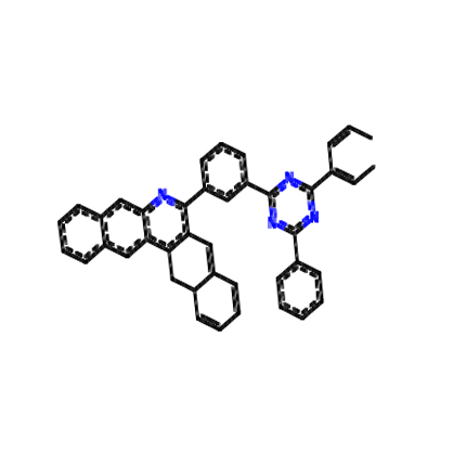 C/C=C\C(=C/C)c1nc(-c2ccccc2)nc(-c2cccc(-c3nc4cc5ccccc5cc4c4c3C=C3C=CC=CC3C4)c2)n1